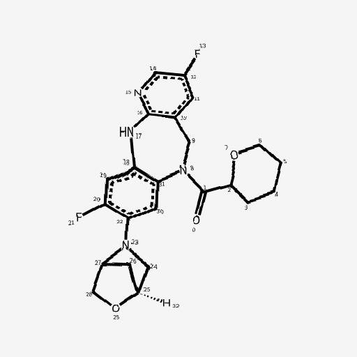 O=C(C1CCCCO1)N1Cc2cc(F)cnc2Nc2cc(F)c(N3C[C@@H]4CC3CO4)cc21